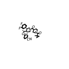 C[C@H](Oc1ccc(C#N)cn1)[C@H]1CCN(C(=O)C2CCN(C(=O)C3(C)CC3)CC2)C[C@@H]1c1ccc(F)c(F)c1